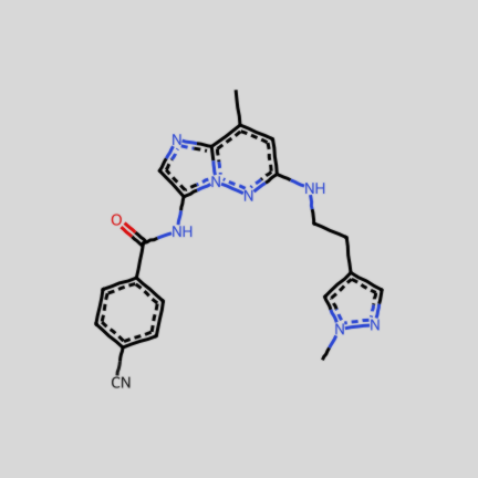 Cc1cc(NCCc2cnn(C)c2)nn2c(NC(=O)c3ccc(C#N)cc3)cnc12